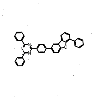 c1ccc(-c2nc(-c3ccccc3)nc(-c3ccc(-c4ccc5oc6c(-c7ccccc7)cccc6c5c4)cc3)n2)cc1